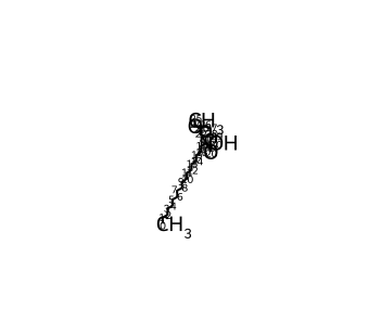 CCCCCCCCCCCCCCCCCCN(C=O)c1cc(OC)ccc1CO